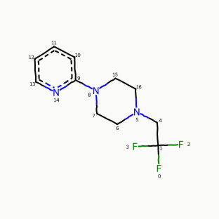 FC(F)(F)CN1CCN(c2ccccn2)CC1